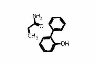 CCC(N)=O.Oc1ccccc1-c1ccccc1